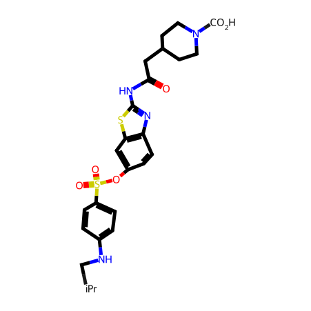 CC(C)CNc1ccc(S(=O)(=O)Oc2ccc3nc(NC(=O)CC4CCN(C(=O)O)CC4)sc3c2)cc1